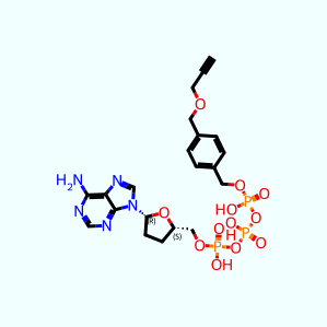 C#CCOCc1ccc(COP(=O)(O)OP(=O)(O)OP(=O)(O)OC[C@@H]2CC[C@H](n3cnc4c(N)ncnc43)O2)cc1